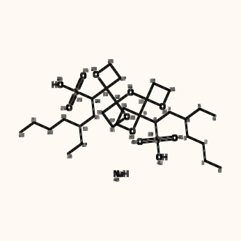 CCCCC(CC)CC(C1(C2(OC3(C4(C(CC(CC)CCCC)S(=O)(=O)O)CCO4)CCO3)CCO2)CCO1)S(=O)(=O)O.[NaH]